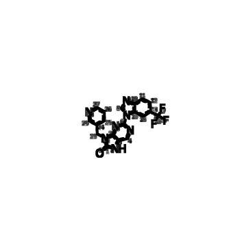 O=c1[nH]c2cnc(-n3cnc4ccc(C(F)(F)F)cc43)nc2n1Cc1cccnc1